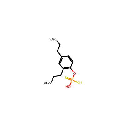 CCCCCCCCCCCCc1ccc(OP(O)(=S)S)c(CCCCCCCCCCCC)c1